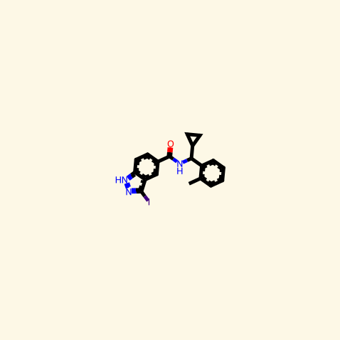 Cc1ccccc1C(NC(=O)c1ccc2[nH]nc(I)c2c1)C1CC1